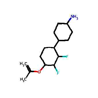 C=C(C)OC1CCC(C2CCC(N)CC2)C(F)C1F